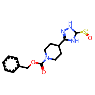 O=[S+]C1NN=C(C2CCN(C(=O)OCc3ccccc3)CC2)N1